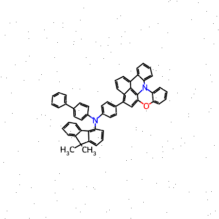 CC1(C)c2ccccc2-c2c(N(c3ccc(-c4ccccc4)cc3)c3ccc(-c4cc5oc6ccccc6n6c7ccccc7c7cccc4c7c5-6)cc3)cccc21